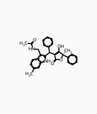 CC(=O)NCc1c(C(C2=C(O)[C@@](C)(c3ccccc3)OC2=O)c2ccccc2)[nH]c2cc(C)ccc12